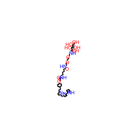 Cn1c(/C=C2/C=CC(/C=C/c3ccc(OCC(=O)NCCCCCC(=O)NCCOCCOCCNC[C@H](O)[C@@H](O)[C@@H](O)[C@@H](O)CO)cc3)=N2)ccc1-c1ccc[nH]1